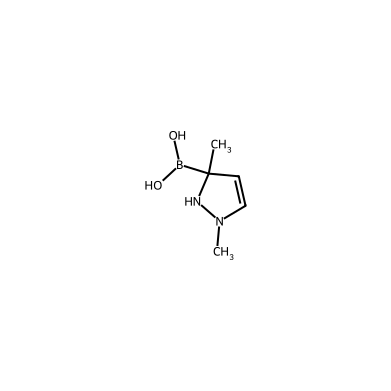 CN1C=CC(C)(B(O)O)N1